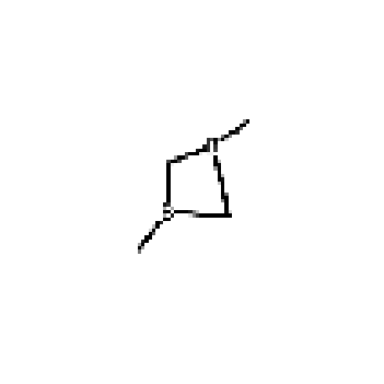 CB1CB(I)C1